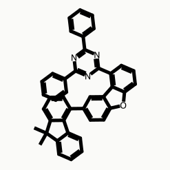 CC1(C)c2ccccc2-c2c(-c3ccc4oc5cccc(-c6nc(-c7ccccc7)nc(-c7ccccc7)n6)c5c4c3)cccc21